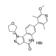 Br.COc1ncc(C)c(-c2ccc3c(c2)[nH]c(=O)c2cnn([C@H]4CCOC4)c23)c1C